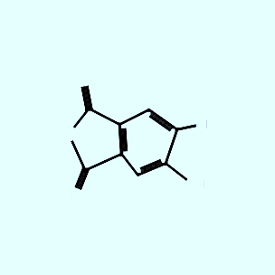 Cc1cc2c(cc1Cl)C(=O)OC2=O